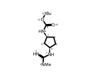 CNC(=N)N[C@@H]1CC[C@H](NC(=O)OC(C)(C)C)C1